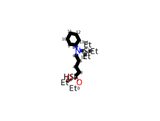 CCO[SiH](CCCCN(C1CCCCC1)[Si](CC)(CC)CC)OCC